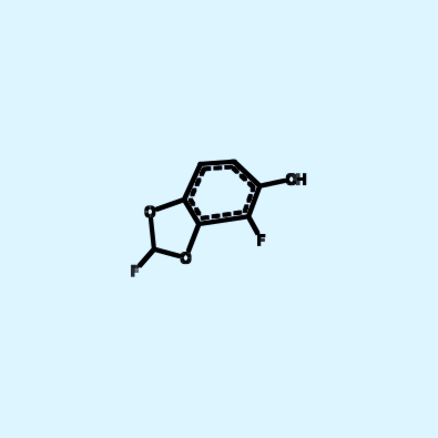 Oc1ccc2c(c1F)OC(F)O2